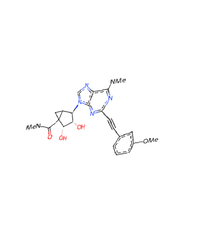 CNC(=O)C12CC1[C@@H](n1cnc3c(NC)nc(C#Cc4cccc(OC)c4)nc31)[C@H](O)[C@@H]2O